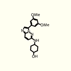 COc1cc(OC)cc(-c2cnc3ccc(NC4CCC(O)CC4)nn23)c1